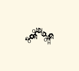 COC(=O)c1ccc2c(C(=O)c3cc(N4CCC(n5c(=O)[nH]c6ncccc65)CC4)ncn3)cn(C)c2c1